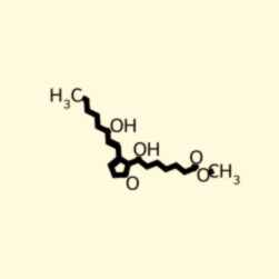 CCCCCC(O)C=CC1=CCC(=O)C1C(O)CCCCCC(=O)OC